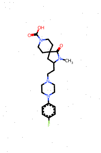 CN1C(=O)C2(CCN(C(=O)O)CC2)CC1CCN1CCN(c2ccc(F)cc2)CC1